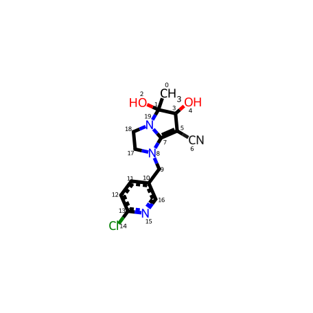 CC1(O)C(O)C(C#N)=C2N(Cc3ccc(Cl)nc3)CCN21